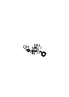 Nc1nc(OCc2ccccc2)c2ncn([C@H]3C[C@@H](CO)C3)c2n1